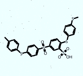 CSc1ccc(Sc2ccc(S(=O)(=O)c3ccc(Sc4ccc(C)cc4)cc3)cc2S(=O)(=O)O)cc1